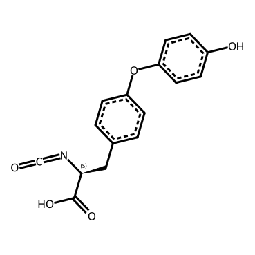 O=C=N[C@@H](Cc1ccc(Oc2ccc(O)cc2)cc1)C(=O)O